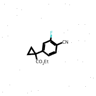 CCOC(=O)C1(c2ccc(C#N)c(F)c2)CC1